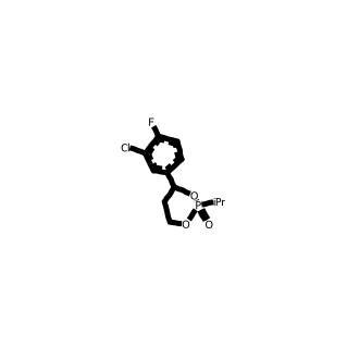 CC(C)P1(=O)OCCC(c2ccc(F)c(Cl)c2)O1